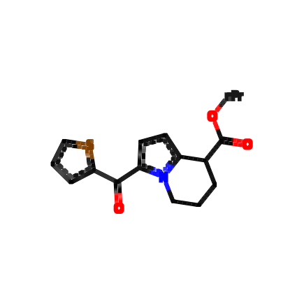 CCCOC(=O)C1CCCn2c(C(=O)c3cccs3)ccc21